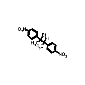 CCC(C)(c1ccc([N+](=O)[O-])cc1)C(C)(CC)c1ccc([N+](=O)[O-])cc1